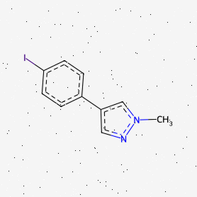 Cn1cc(-c2ccc(I)cc2)cn1